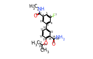 CNC(=O)c1cc(F)cc(-c2ccc(OC(C)C)c(C(N)=O)c2)c1